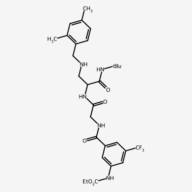 CCOC(=O)Nc1cc(C(=O)NCC(=O)NC(CNCc2ccc(C)cc2C)C(=O)NC(C)(C)C)cc(C(F)(F)F)c1